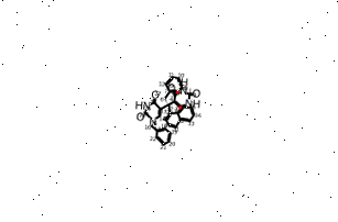 O=c1[nH]cc([C@](Cc2ccccc2)(c2cn(Cc3ccccc3)c(=O)[nH]c2=O)c2cccc3ccccc23)c(=O)[nH]1